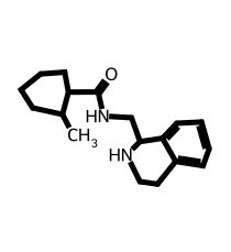 CC1CCCCC1C(=O)NCC1NCCc2ccccc21